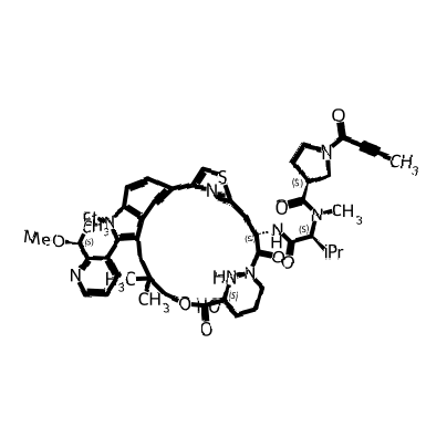 CC#CC(=O)N1CC[C@H](C(=O)N(C)[C@H](C(=O)N[C@H]2Cc3nc(cs3)-c3ccc4c(c3)c(c(-c3cccnc3[C@H](C)OC)n4CC)CC(C)(C)COC(=O)[C@@]3(O)CCCN(N3)C2=O)C(C)C)C1